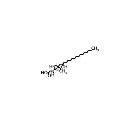 CCCCCCCCCCCCCCC=CCC1(C(C)O)CNC(NCC(=O)O)=N1